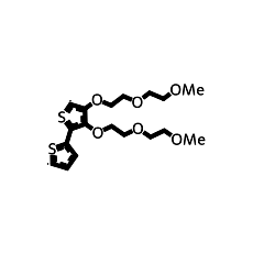 COCCOCCOc1[c]sc(-c2cc[c]s2)c1OCCOCCOC